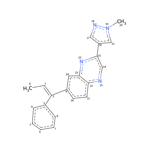 CC=C(c1ccccc1)c1ccc2ncc(-c3cnn(C)c3)nc2c1